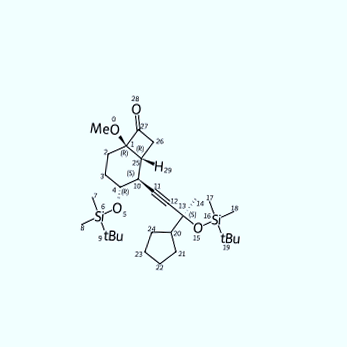 CO[C@]12CC[C@@H](O[Si](C)(C)C(C)(C)C)[C@H](C#C[C@@](C)(O[Si](C)(C)C(C)(C)C)C3CCCC3)[C@H]1CC2=O